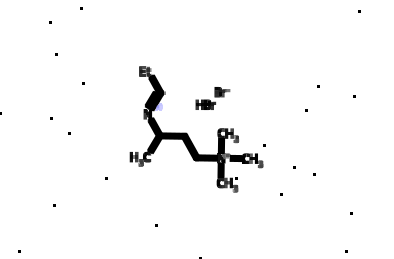 Br.[Br-].[CH2]C/[C]=N/C(C)CC[N+](C)(C)C